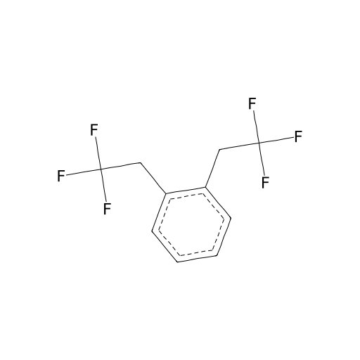 FC(F)(F)Cc1ccccc1CC(F)(F)F